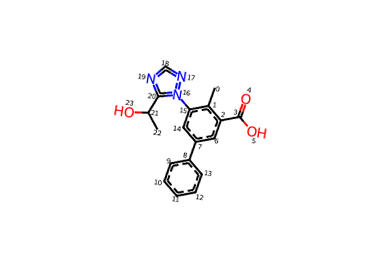 Cc1c(C(=O)O)cc(-c2ccccc2)cc1-n1ncnc1C(C)O